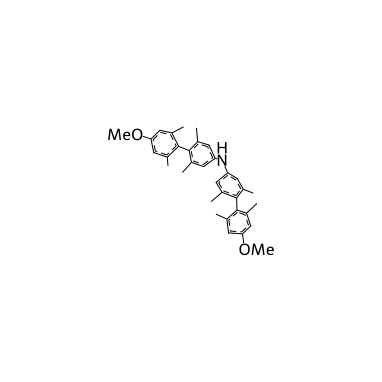 COc1cc(C)c(-c2c(C)cc(Nc3cc(C)c(-c4c(C)cc(OC)cc4C)c(C)c3)cc2C)c(C)c1